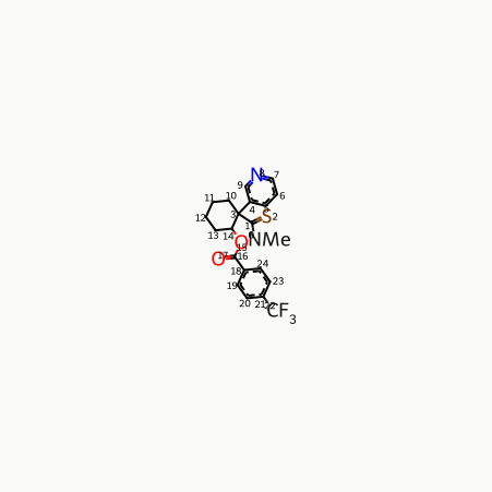 CNC(=S)C1(c2cccnc2)CCCCC1OC(=O)c1ccc(C(F)(F)F)cc1